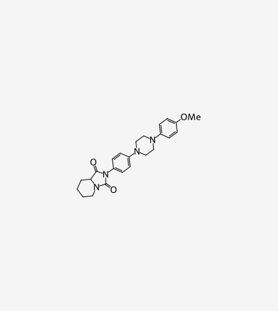 COc1ccc(N2CCN(c3ccc(N4C(=O)C5CCCCN5C4=O)cc3)CC2)cc1